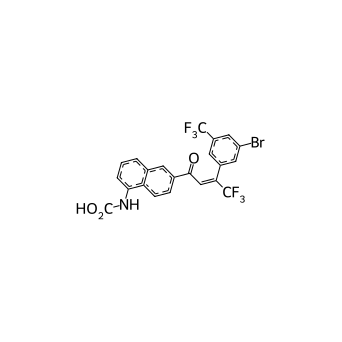 O=C(O)Nc1cccc2cc(C(=O)/C=C(\c3cc(Br)cc(C(F)(F)F)c3)C(F)(F)F)ccc12